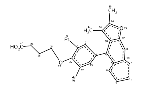 CCc1cc(-c2c3ccccc3cc3oc(C)c(C)c23)cc(Br)c1OCCCC(=O)O